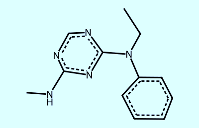 CCN(c1ccccc1)c1ncnc(NC)n1